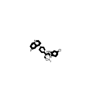 CC[C@H](c1nc2ccc(Cl)cc2[nH]1)[C@H]1CC[C@@H](c2ccnc3ccc(F)cc32)CC1